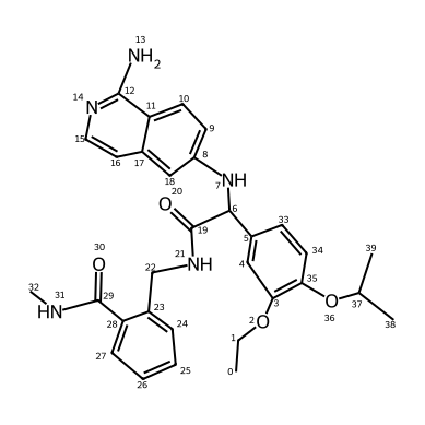 CCOc1cc(C(Nc2ccc3c(N)nccc3c2)C(=O)NCc2ccccc2C(=O)NC)ccc1OC(C)C